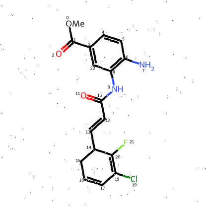 COC(=O)c1ccc(N)c(NC(=O)/C=C/C2CC=CC(Cl)=C2F)c1